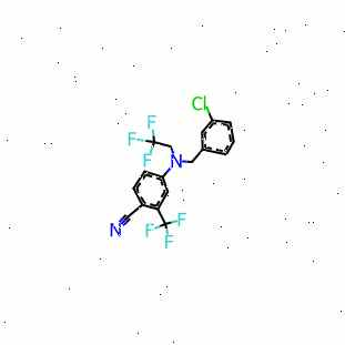 N#Cc1ccc(N(Cc2cccc(Cl)c2)CC(F)(F)F)cc1C(F)(F)F